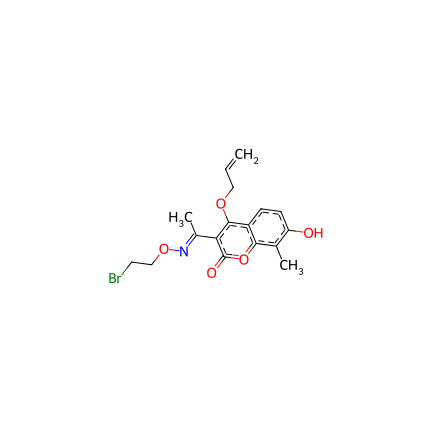 C=CCOc1c(C(C)=NOCCBr)c(=O)oc2c(C)c(O)ccc12